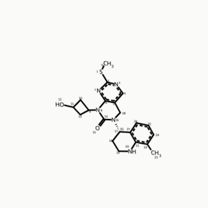 CSc1ncc2c(n1)N(C1CC(O)C1)C(=O)N([C@H]1CCNc3c(C)cccc31)C2